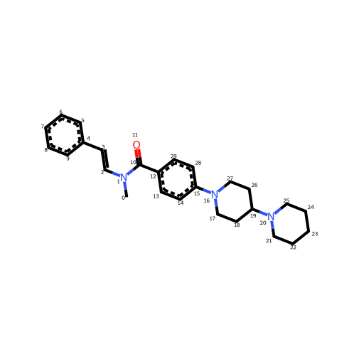 CN(C=Cc1ccccc1)C(=O)c1ccc(N2CCC(N3CCCCC3)CC2)cc1